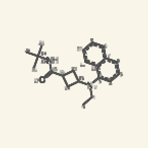 CCN(c1cccc2ccccc12)C1CC(C(=O)NC(C)(C)C)C1